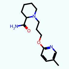 Cc1ccc(OCCCN2CCCCC2C(N)=O)nc1